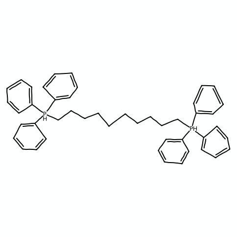 c1ccc([PH](CCCCCCCCCC[PH](c2ccccc2)(c2ccccc2)c2ccccc2)(c2ccccc2)c2ccccc2)cc1